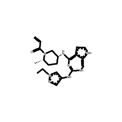 C=CC(=O)N1C[C@H](NC2=c3cc[nH]c3=CNC(Nc3cnn(CC)c3)=N2)CC[C@@H]1C